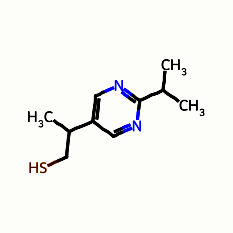 CC(C)c1ncc(C(C)CS)cn1